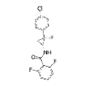 O=C(N[C@@H]1C[C@@]1(F)c1ccc(Cl)cc1)c1c(F)cccc1F